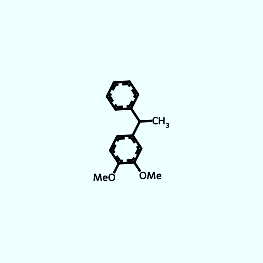 COc1ccc(C(C)c2ccccc2)cc1OC